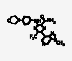 Cn1cnc2c(-c3nc(C(N)=O)c(Nc4ccc(N5CCOCC5)cc4)nc3C(F)(F)F)cncc21